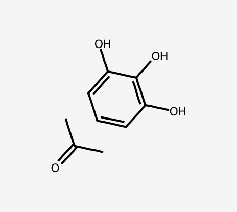 CC(C)=O.Oc1cccc(O)c1O